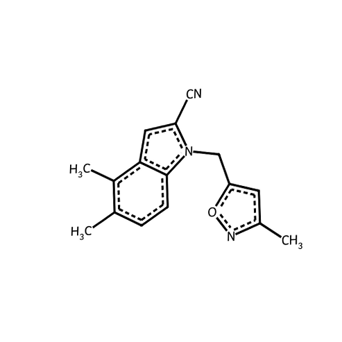 Cc1cc(Cn2c(C#N)cc3c(C)c(C)ccc32)on1